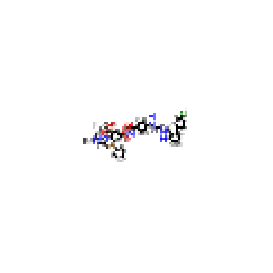 CCN(CC)C[C@H](CSc1ccccc1)Nc1ccc(S(=O)(=O)NC(=O)c2ccc(NCCNCc3ccccc3-c3ccc(Cl)cc3)cc2)cc1S(=O)(=O)C(F)(F)F